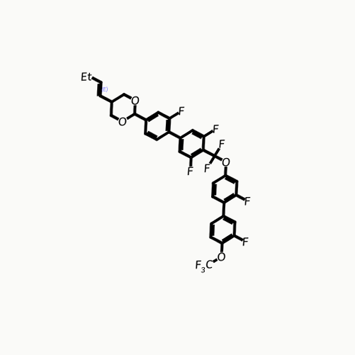 CC/C=C/C1COC(c2ccc(-c3cc(F)c(C(F)(F)Oc4ccc(-c5ccc(OC(F)(F)F)c(F)c5)c(F)c4)c(F)c3)c(F)c2)OC1